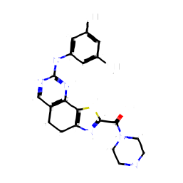 Cc1cc(C)cc(Nc2ncc3c(n2)-c2sc(C(=O)N4CCNCC4)nc2CC3)c1